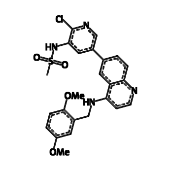 COc1ccc(OC)c(CNc2ccnc3ccc(-c4cnc(Cl)c(NS(C)(=O)=O)c4)cc23)c1